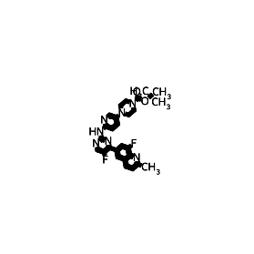 Cc1ccc2cc(-c3nc(Nc4ccc(N5CCN(C(=O)OC(C)(C)C)CC5)cn4)ncc3F)cc(F)c2n1